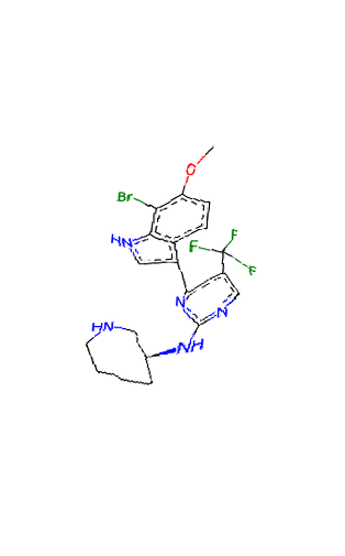 COc1ccc2c(-c3nc(N[C@H]4CCCCNC4)ncc3C(F)(F)F)c[nH]c2c1Br